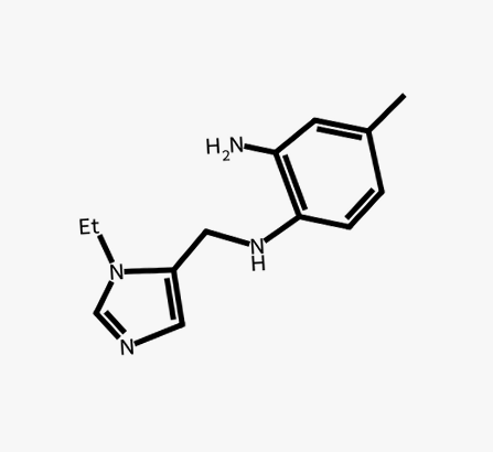 CCn1cncc1CNc1ccc(C)cc1N